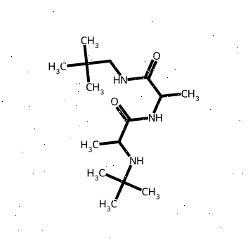 CC(NC(=O)C(C)NC(C)(C)C)C(=O)NCC(C)(C)C